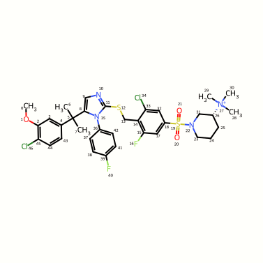 COc1cc(C(C)(C)c2cnc(SCc3c(F)cc(S(=O)(=O)N4CCC[C@@H]([N+](C)(C)C)C4)cc3Cl)n2-c2ccc(F)cc2)ccc1Cl